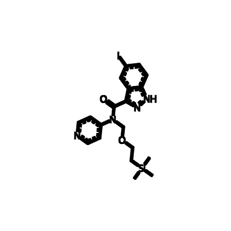 C[Si](C)(C)CCOCN(C(=O)c1n[nH]c2ccc(I)cc12)c1ccncc1